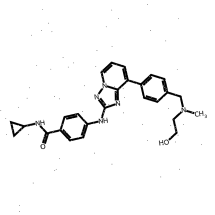 CN(CCO)Cc1ccc(-c2cccn3nc(Nc4ccc(C(=O)NC5CC5)cc4)nc23)cc1